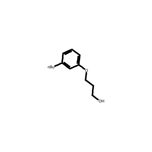 CCCCc1cccc(OCCCO)c1